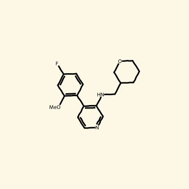 COc1cc(F)ccc1-c1ccncc1NCC1CCCOC1